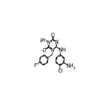 CC(C)n1c(=O)nc(Nc2ccc(Cl)c(N)c2)n(Cc2ccc(F)cc2)c1=O